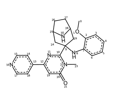 COc1ccccc1NC1(c2nc(-c3ccncc3)cc(=O)n2C)CC2CCC(C1)N2